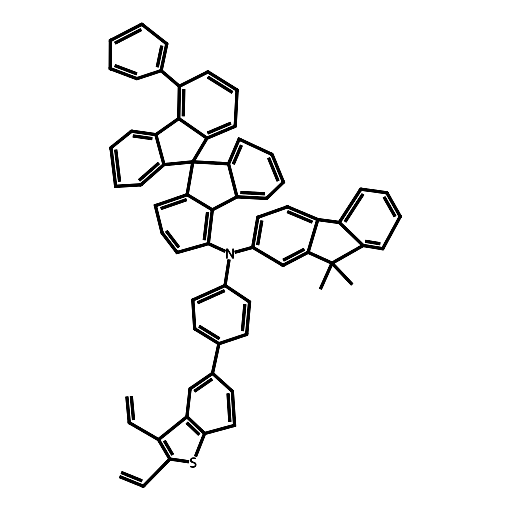 C=Cc1sc2ccc(-c3ccc(N(c4ccc5c(c4)C(C)(C)c4ccccc4-5)c4cccc5c4-c4ccccc4C54c5ccccc5-c5c(-c6ccccc6)cccc54)cc3)cc2c1C=C